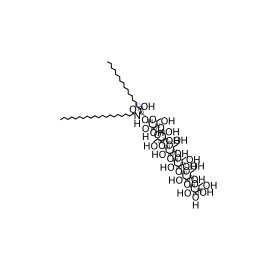 CCCCCCCCCCCCC/C=C/[C@@H](O)[C@H](CO[C@@H]1OC(CO)[C@@H](O[C@@H]2OC(CO)[C@H](O[C@@H]3OC(CO)[C@H](O)[C@H](O[C@H]4OC(CO)[C@H](O)[C@H](O[C@H]5OC(CO)[C@H](O)[C@H](O[C@H]6OC(CO)[C@H](O)[C@H](O)C6O)C5O)C4O)C3O)[C@H](O)C2O)[C@H](O)C1O)NC(=O)CCCCCCCCCCCCCCCCCCC